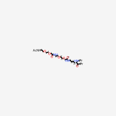 CC(=O)NCCOCCOCC(=O)NCCOCCOCC(=O)NCCCC[C@H](NC(C)C)C(=O)C(C)C